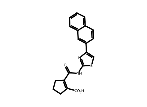 O=C(O)C1=C(C(=O)Nc2nc(-c3ccc4ccccc4c3)cs2)CCC1